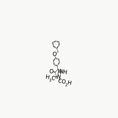 C[C@H](NC(=O)O)C(=O)C(=N)c1ccc(OCc2ccccc2)cc1